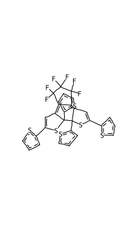 FC1(F)C2=C3C=C(c4cccs4)SC3(c3cccs3)C3(c4cccs4)SC(c4cccs4)=CC3=C2C(F)(F)C1(F)F